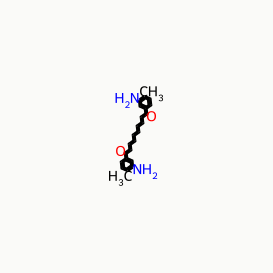 Cc1ccc(C(=O)CCCCCCCCC(=O)c2ccc(C)c(N)c2)cc1N